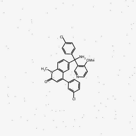 COc1ccncc1C(N)(c1ccc(Cl)cc1)c1ccc2c(c1)c(-c1cccc(Cl)c1)cc(=O)n2C